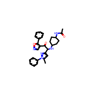 CC(=O)NC1CCC(NC(C(=O)c2cnoc2-c2ccccc2)c2cc(C)n(-c3ccccc3)n2)CC1